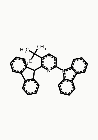 CC(C)(C)c1ccc(-n2c3ccccc3c3ccccc32)nc1C1c2ccccc2-c2ccccc21